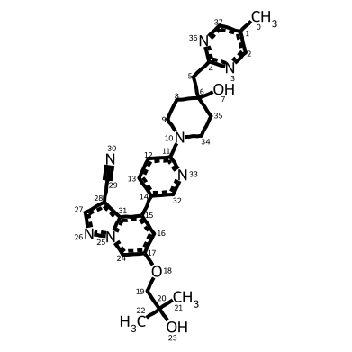 Cc1cnc(CC2(O)CCN(c3ccc(-c4cc(OCC(C)(C)O)cn5ncc(C#N)c45)cn3)CC2)nc1